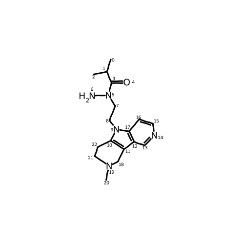 CC(C)C(=O)N(N)CCn1c2c(c3cnccc31)CN(C)CC2